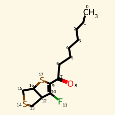 CCCCCCCC(=O)C1=C(F)C2CSCC2S1